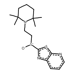 CC1(C)CCCC(C)(C)N1CC[S+]([O-])c1nc2cccnc2s1